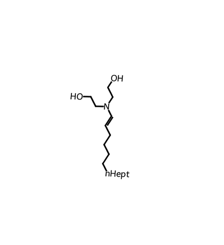 CCCCCCCCCCCC=CN(CCO)CCO